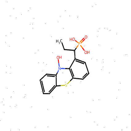 CCC(c1cccc2c1N(O)c1ccccc1S2)P(=O)(O)O